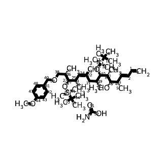 C=CC=C[C@H](C)[C@H](O)[C@@H](C)[C@H](O[Si](C)(C)C(C)(C)C)[C@@H](C)CC(C)=C[C@H](C)[C@@H](O[Si](C)(C)C(C)(C)C)[C@@H](C)COCc1ccc(OC)cc1.NC(=O)O